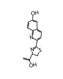 C=C(O)C1CSC(c2ccc3cc(O)ccc3n2)=N1